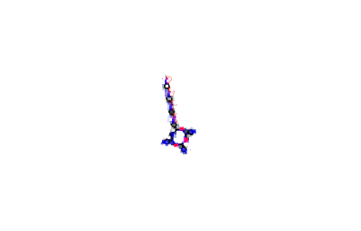 CC(=O)Nc1ccc(C(=O)Nc2ccc(C(=O)Nc3ccc(C(=O)Nc4ccc(-c5c6nc(c(-c7cc[n+](C)cc7)c7ccc([nH]7)c(-c7cc[n+](C)cc7)c7nc(c(-c8cc[n+](C)cc8)c8ccc5[nH]8)C=C7)C=C6)cc4)cc3)cc2)cc1